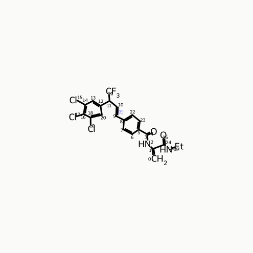 C=C(NC(=O)c1ccc(/C=C/C(c2cc(Cl)c(Cl)c(Cl)c2)C(F)(F)F)cc1)C(=O)NCC